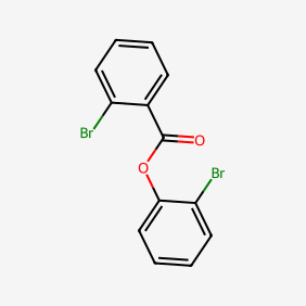 O=C(Oc1ccccc1Br)c1ccccc1Br